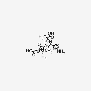 CC(O/N=C(\C(=O)N[C@@H]1C(=O)N(OCC(=O)O)C1(C)C)c1csc(N)n1)C(=O)O